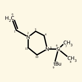 C=CN1CCN([Si](C)(C)C(C)(C)C)CC1